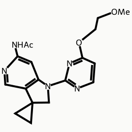 COCCOc1ccnc(N2CC3(CC3)c3cnc(NC(C)=O)cc32)n1